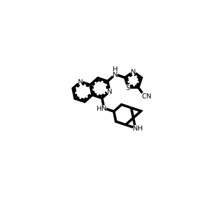 N#Cc1cnc(Nc2cc3ncccc3c(NC3CC4CC45NC5C3)n2)s1